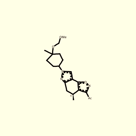 COCOC1(C)CCC(n2cc3c(n2)C[C@H](C)c2c(C(C)=O)noc2-3)CC1